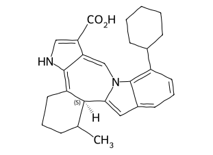 CC1CCCC2=c3[nH]cc(C(=O)O)c3=Cn3c(cc4cccc(C5CCCCC5)c43)[C@H]21